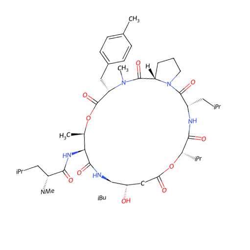 CC[C@H](C)[C@H]1NC(=O)[C@@H](NC(=O)[C@@H](CC(C)C)NC)[C@@H](C)OC(=O)[C@H](Cc2ccc(C)cc2)N(C)C(=O)[C@@H]2CCCN2C(=O)[C@H](CC(C)C)NC(=O)[C@H](C(C)C)OC(=O)C[C@@H]1O